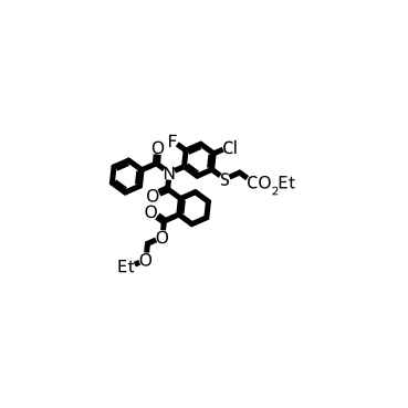 CCOCOC(=O)C1=C(C(=O)N(C(=O)c2ccccc2)c2cc(SCC(=O)OCC)c(Cl)cc2F)CCCC1